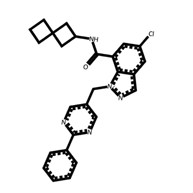 O=C(NC1CC2(CCC2)C1)c1cc(Cl)cc2cnn(Cc3cnc(-c4ccccc4)nc3)c12